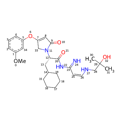 COc1cccc(OC2=CC(=O)N([C@@H](CC3CCCCC3)C(=O)NC(=N)/C=C\NCC(C)(C)O)C2)c1